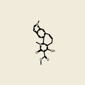 COC(=O)c1c(O)c2c(n(C)c1=O)-c1cc3ccn(C)c3cc1C=CC2